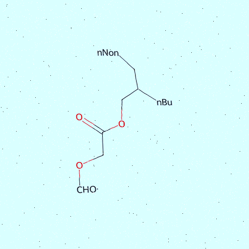 CCCCCCCCCCC(CCCC)COC(=O)CO[C]=O